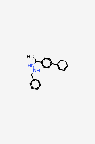 CC(NNCc1ccccc1)c1ccc(C2=CC=CCC2)cc1